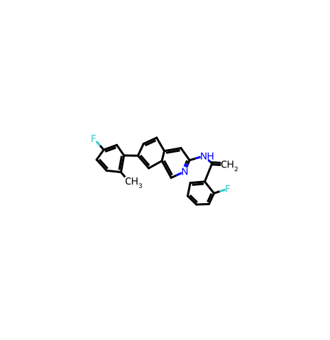 C=C(Nc1cc2ccc(-c3cc(F)ccc3C)cc2cn1)c1ccccc1F